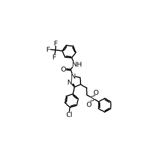 O=C(Nc1cccc(C(F)(F)F)c1)N1CC(CCS(=O)(=O)c2ccccc2)C(c2ccc(Cl)cc2)=N1